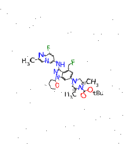 Cc1cn2cc(Nc3nn(C4CCCCO4)c4cc(N5C[C@H](C)N(C(=O)OC(C)(C)C)[C@@H](C)C5)cc(CF)c34)cc(F)c2n1